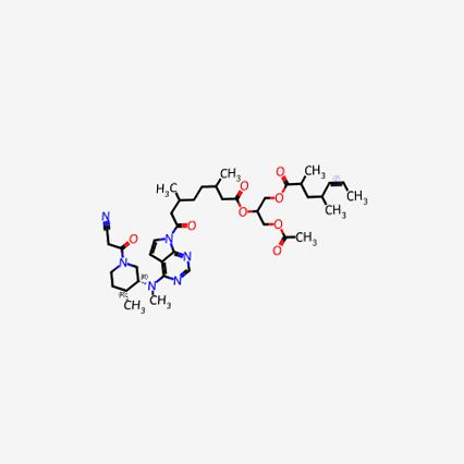 C/C=C\C(C)CC(C)C(=O)OCC(COC(C)=O)OC(=O)CC(C)CCC(C)CC(=O)n1ccc2c(N(C)[C@H]3CN(C(=O)CC#N)CC[C@H]3C)ncnc21